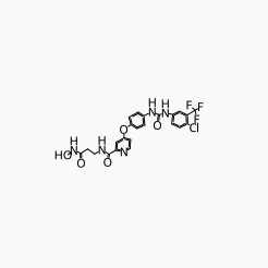 O=C(CCNC(=O)c1cc(Oc2ccc(NC(=O)Nc3ccc(Cl)c(C(F)(F)F)c3)cc2)ccn1)NO